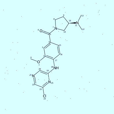 COc1cc(C(=O)N2CC[C@@H](N(C)C)C2)ccc1Nc1cncc(Cl)n1